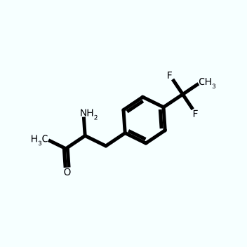 CC(=O)C(N)Cc1ccc(C(C)(F)F)cc1